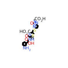 Nc1cccc(C(O)C(=O)NC2C(=O)N3C(C(=O)O)=C(CSc4ccc5nn(CC(=O)O)c(=O)n5n4)CS[C@@H]23)c1